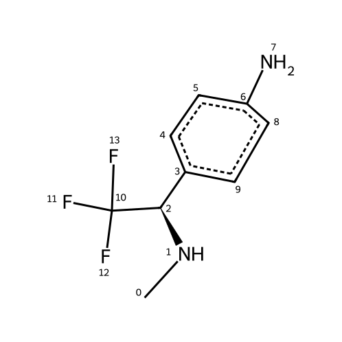 CN[C@H](c1ccc(N)cc1)C(F)(F)F